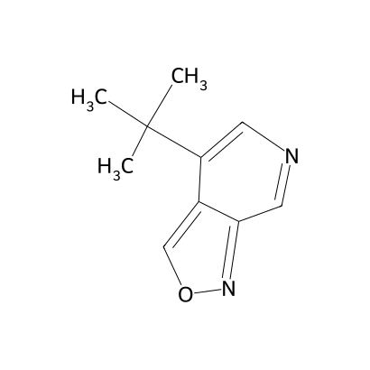 CC(C)(C)c1cncc2nocc12